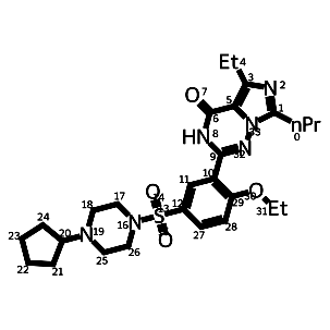 CCCc1nc(CC)c2c(=O)[nH]c(-c3cc(S(=O)(=O)N4CCN(C5CCCC5)CC4)ccc3OCC)nn12